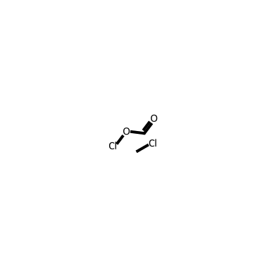 CCl.O=COCl